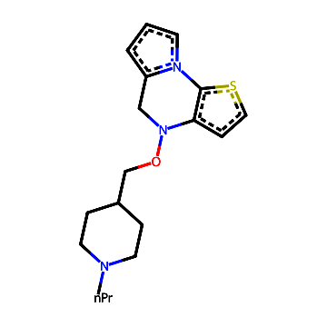 CCCN1CCC(CON2Cc3cccn3-c3sccc32)CC1